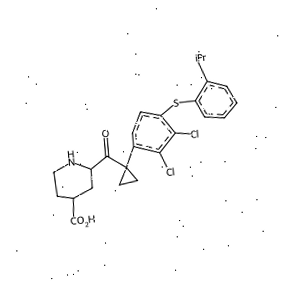 CC(C)c1ccccc1Sc1ccc(C2(C(=O)C3CC(C(=O)O)CCN3)CC2)c(Cl)c1Cl